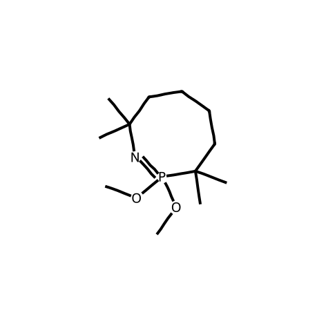 COP1(OC)=NC(C)(C)CCCCC1(C)C